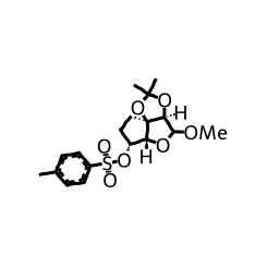 COC1O[C@@H]2[C@H](OS(=O)(=O)c3ccc(C)cc3)CC[C@@]23OC(C)(C)O[C@@H]13